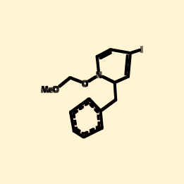 COCON1C=CC(I)=CC1Cc1ccccc1